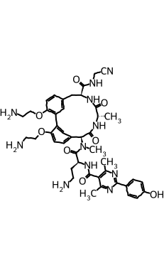 Cc1nc(-c2ccc(O)cc2)nc(C)c1C(=O)N[C@@H](CCN)C(=O)N(C)[C@@H]1C(=O)N[C@@H](C)C(=O)N[C@H](C(=O)NCC#N)Cc2ccc(OCCN)c(c2)-c2cc1ccc2OCCN